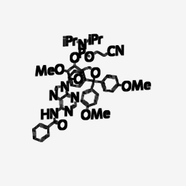 COc1ccc(C(OCC2OC(n3cnc4c(NC(=O)c5ccccc5)ncnc43)C(OC)C2OP(OCCC#N)N(C(C)C)C(C)C)(c2ccccc2)c2ccc(OC)cc2)cc1